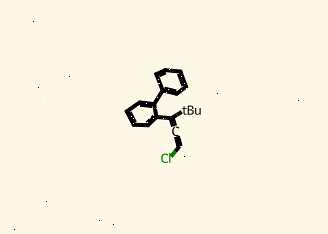 CC(C)(C)C(=C=CCl)c1ccccc1-c1ccccc1